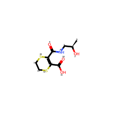 C[C@@H](O)CNC(=O)C1=C(C(=O)O)SCCS1